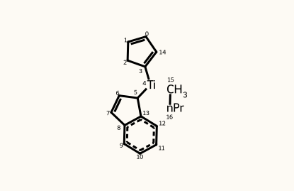 C1=CC[C]([Ti][CH]2C=Cc3ccccc32)=C1.CCCC